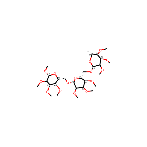 COC1[C@H](OC[C@H]2O[C@@H](OC[C@H]3O[C@@H](OC)C(OC)[C@H](OC)[C@@H]3OC)C(OC)[C@H](OC)[C@@H]2OC)O[C@H](C)[C@@H](OC)[C@H]1OC